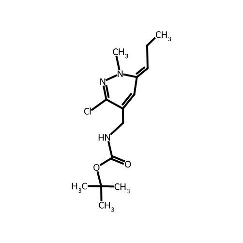 CC/C=C1/C=C(CNC(=O)OC(C)(C)C)C(Cl)=NN1C